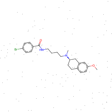 COc1ccc2c(c1)C[C@H](N(C)CCCCNC(=O)c1ccc(Br)cc1)CC2